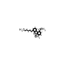 CCCCCCc1cccc(-c2c(OC)cccc2OC)c1P